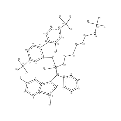 Cc1ccc2c(c1)c1c(n2C)-c2ccccc2C1S(C)(CCCCCCOC(C)(C)C)Cc1cc(C(C)(C)C)ccc1-c1ccc(C(C)(C)C)cc1C